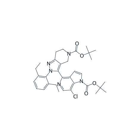 CCc1cccc(CC)c1-n1nc2c(c1-c1ncc(Cl)c3c1ccn3C(=O)OC(C)(C)C)CN(C(=O)OC(C)(C)C)CC2